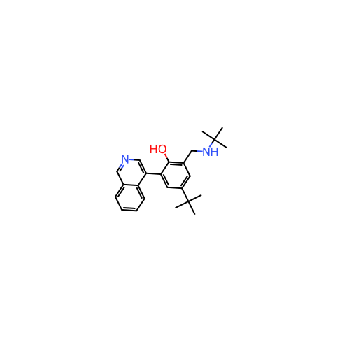 CC(C)(C)NCc1cc(C(C)(C)C)cc(-c2cncc3ccccc23)c1O